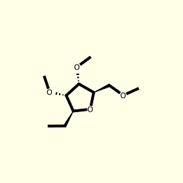 CC[C@@H]1O[C@H](COC)[C@@H](OC)[C@H]1OC